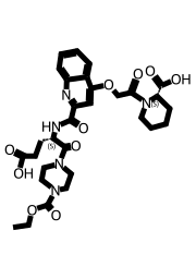 CCOC(=O)N1CCN(C(=O)[C@H](CCC(=O)O)NC(=O)c2cc(OCC(=O)N3CCCC[C@H]3C(=O)O)c3ccccc3n2)CC1